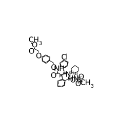 CCOC(=O)COc1ccc(CONC(=O)[C@@H]2c3ccccc3C(=O)N([C@H]3CCCC[C@@H]3NS(C)(=O)=O)[C@H]2c2ccc(Cl)cc2)cc1